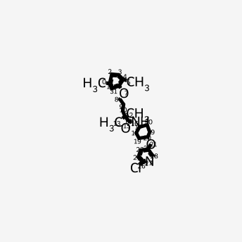 Cc1ccc(C)c(OCCCC(C)(C)C(=O)N[C@H]2CC[C@H](Oc3ccc(Cl)nc3)CC2)c1